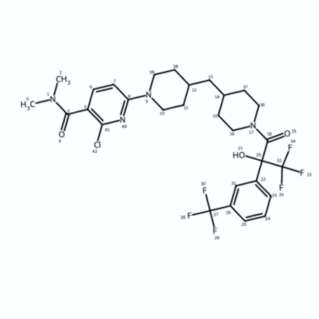 CN(C)C(=O)c1ccc(N2CCC(CC3CCN(C(=O)C(O)(c4cccc(C(F)(F)F)c4)C(F)(F)F)CC3)CC2)nc1Cl